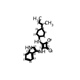 CC[C@H](C)C1CCC(Nc2c(Nc3c[nH]c4ccccc34)c(=O)c2=O)CC1